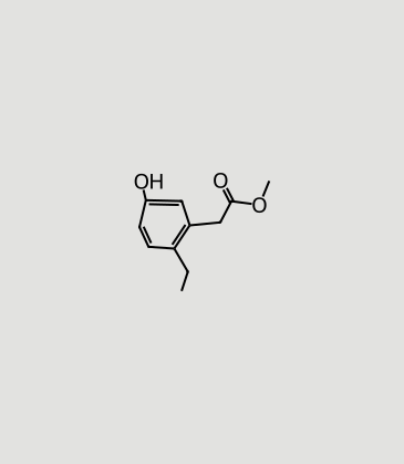 CCc1ccc(O)cc1CC(=O)OC